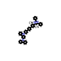 N#Cc1cc(-c2ccc(-c3ccc(-n4c5ccccc5c5cc(-n6c7ccccc7c7ccccc76)ccc54)cc3)cc2)cc(C#N)c1-c1cc(-c2ccccc2)nc(-c2ccccc2)n1